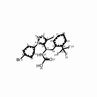 Cc1nnn(-c2ccc(Br)cc2)c1[C@@H](Cc1ccccc1C(F)(F)F)NC(=O)O